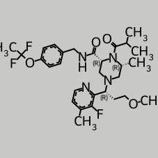 COCC[C@H](c1nccc(C)c1F)N1C[C@@H](C)N(C(=O)C(C)C)[C@@H](C(=O)NCc2ccc(OC(C)(F)F)cc2)C1